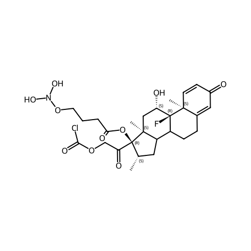 C[C@H]1CC2C3CCC4=CC(=O)C=C[C@]4(C)[C@@]3(F)[C@@H](O)C[C@]2(C)[C@@]1(OC(=O)CCCON(O)O)C(=O)COC(=O)Cl